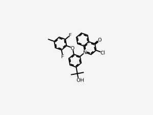 Cc1cc(F)c(Oc2ccc(C(C)(C)O)cc2-n2cc(Cl)c(=O)c3ccccc32)c(F)c1